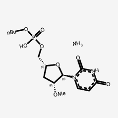 CCCCOP(=O)(O)OC[C@H]1C[C@@H](OC)[C@H](n2ccc(=O)[nH]c2=O)O1.N